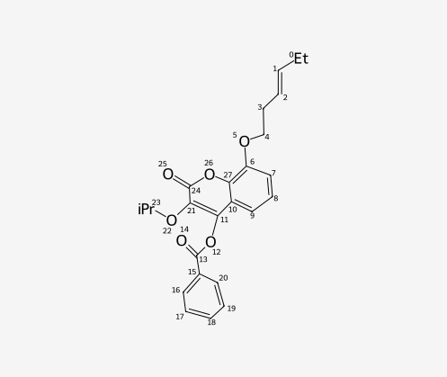 CCC=CCCOc1cccc2c(OC(=O)c3ccccc3)c(OC(C)C)c(=O)oc12